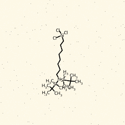 CC(C)(C)[Si](C)(C)N(CCCCCCCC[Si](Cl)(Cl)Cl)[Si](C)(C)C(C)(C)C